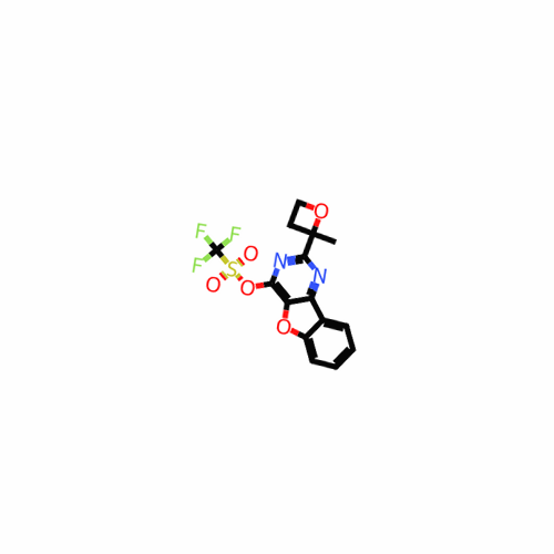 CC1(c2nc(OS(=O)(=O)C(F)(F)F)c3oc4ccccc4c3n2)CCO1